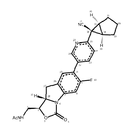 CC(=O)NC[C@@H]1OC(=O)N2c3cc(F)c(-c4ccc([C@@]5(C#N)[C@@H]6CCC[C@@H]65)nc4)cc3C[C@@H]12